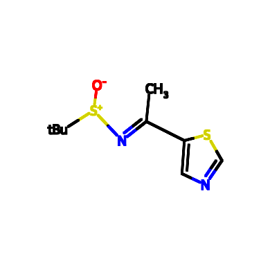 CC(=N[S+]([O-])C(C)(C)C)c1cncs1